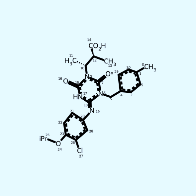 Cc1ccc(Cn2c(=O)n([C@H](C)[C@H](C)C(=O)O)c(=O)[nH]/c2=N\c2ccc(OC(C)C)c(Cl)c2)cc1